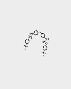 CCC(C)(C)c1ccc(OC(=O)Nc2ccc(Cc3ccc(NC(=O)Oc4ccc(C(C)(C)CC)cc4)cc3)cc2)cc1